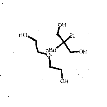 CCCCC(CC)(CO)CO.OCCOCCO